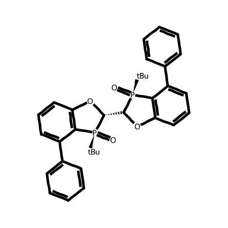 CC(C)(C)[P@@]1(=O)c2c(cccc2-c2ccccc2)OC1[C@H]1Oc2cccc(-c3ccccc3)c2[P@]1(=O)C(C)(C)C